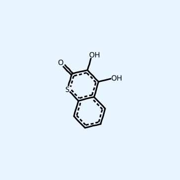 O=c1sc2ccccc2c(O)c1O